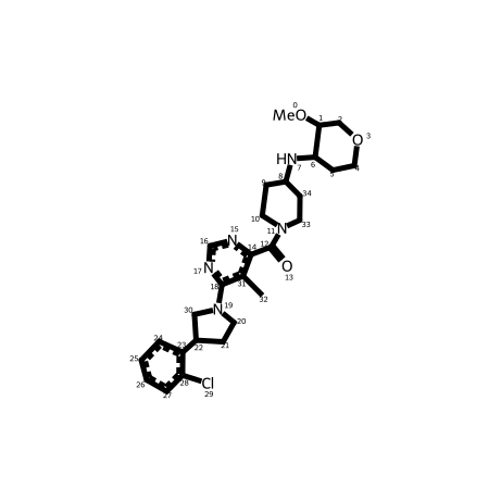 COC1COCCC1NC1CCN(C(=O)c2ncnc(N3CCC(c4ccccc4Cl)C3)c2C)CC1